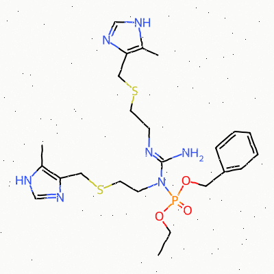 CCOP(=O)(OCc1ccccc1)N(CCSCc1nc[nH]c1C)/C(N)=N/CCSCc1nc[nH]c1C